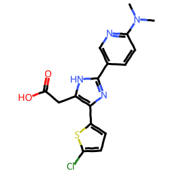 CN(C)c1ccc(-c2nc(-c3ccc(Cl)s3)c(CC(=O)O)[nH]2)cn1